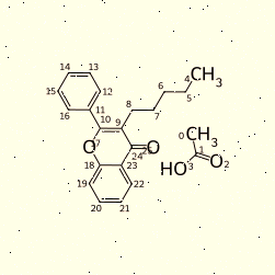 CC(=O)O.CCCCCc1c(-c2ccccc2)oc2ccccc2c1=O